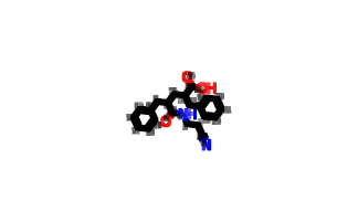 N#CCCNC(=O)C(Cc1ccccc1)CC(Cc1ccccc1)C(=O)O